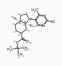 Cc1cc(Cl)nnc1N1CC[C@@H]2CCN(C(=O)OC(C)(C)C)C[C@@H]21